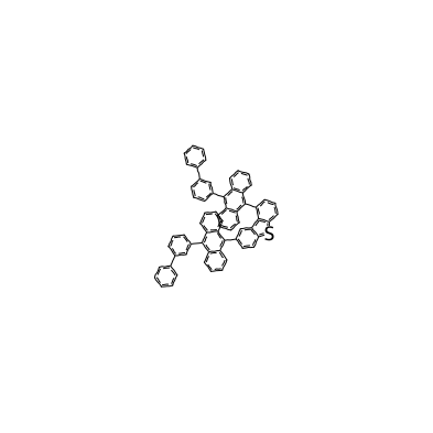 c1ccc(-c2cccc(-c3c4ccccc4c(-c4ccc5sc6cccc(-c7c8ccccc8c(-c8cccc(-c9ccccc9)c8)c8ccccc78)c6c5c4)c4ccccc34)c2)cc1